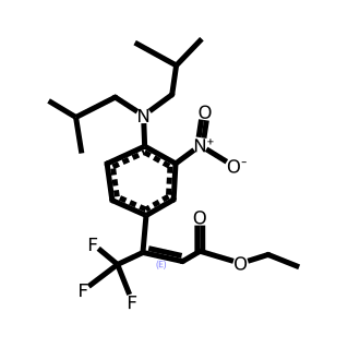 CCOC(=O)/C=C(\c1ccc(N(CC(C)C)CC(C)C)c([N+](=O)[O-])c1)C(F)(F)F